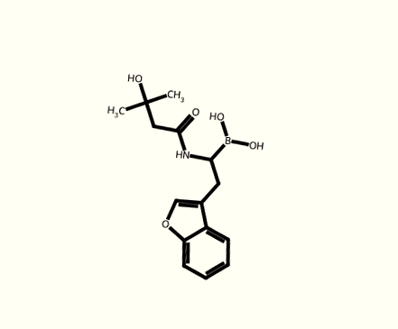 CC(C)(O)CC(=O)NC(Cc1coc2ccccc12)B(O)O